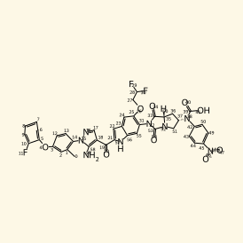 Cc1cc(Oc2ccccc2F)ccc1-n1ncc(C(=O)c2cc3cc(OCC(F)F)c(N4C(=O)[C@@H]5C[C@H](N(C(=O)O)c6ccc([N+](=O)[O-])cc6)CN5C4=O)cc3[nH]2)c1N